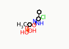 Cc1ccc(Oc2nc3cc(-c4ccccc4)c(Cl)cc3[nH]2)cc1OP(O)O